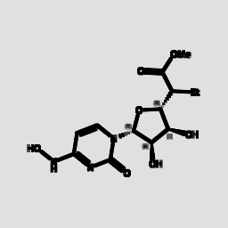 CCC(C(=O)OC)[C@H]1O[C@@H](n2ccc(NO)nc2=O)[C@H](O)[C@@H]1O